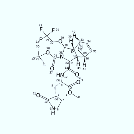 COC(=O)[C@H](C[C@@H]1CCNC1=O)NC(=O)[C@@H]1[C@@H]2[C@H](C(OCC(F)(F)F)N1C(=O)OC(C)(C)C)[C@@H]1C=C[C@H]2C1